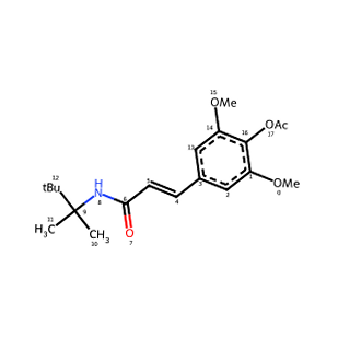 COc1cc(/C=C/C(=O)NC(C)(C)C(C)(C)C)cc(OC)c1OC(C)=O